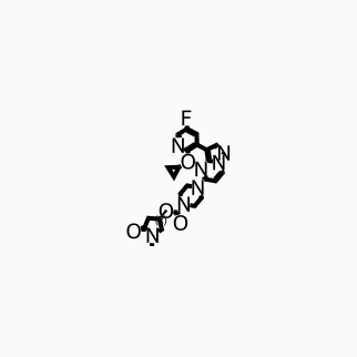 CN1C[C@H](OC(=O)N2CCN(c3ccn4ncc(-c5cc(F)cnc5OC5CC5)c4n3)CC2)CC1=O